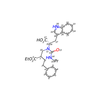 CCOC(=O)C(CCc1ccccc1)CN(C(=O)NC(C)C)[C@@H](Cc1c[nH]c2ccccc12)C(=O)O